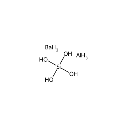 O[Si](O)(O)O.[AlH3].[BaH2]